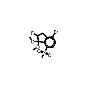 COC1(OC)c2c(S(C)(=O)=O)ccc(Br)c2CC1F